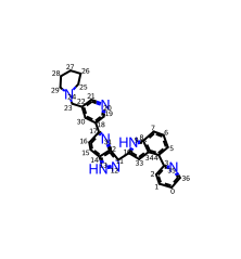 c1ccc(-c2cccc3[nH]c(-c4n[nH]c5ccc(-c6cncc(CN7CCCCC7)c6)nc45)cc23)nc1